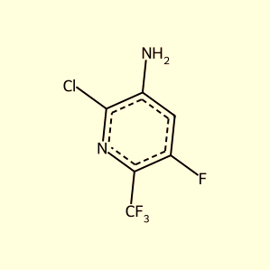 Nc1cc(F)c(C(F)(F)F)nc1Cl